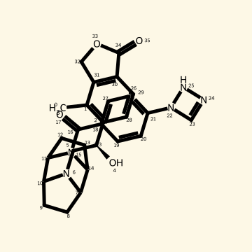 Cc1c([C@@H](O)CN2C3CCC2C2CCC3N2C(=O)c2ccc(-n3cn[nH]3)nc2)ccc2c1COC2=O